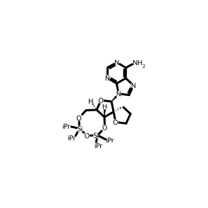 CC(C)[Si]1(C(C)C)OC[C@H]2O[C@@H](n3cnc4c(N)ncnc43)[C@]3(CCCO3)[C@@H]2O[Si](C(C)C)(C(C)C)O1